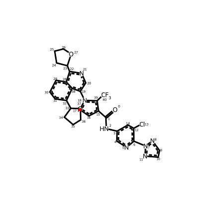 O=C(Nc1cnc(-n2nccn2)c(Cl)c1)c1cnn(-c2cnc(C3CCCO3)c3cccc(C4CCCO4)c23)c1C(F)(F)F